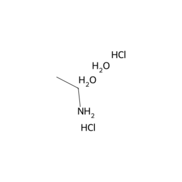 CCN.Cl.Cl.O.O